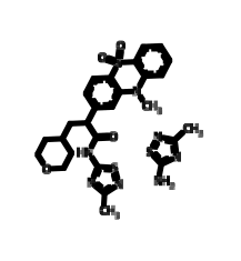 Cc1nsc(N)n1.Cc1nsc(NC(=O)C(CC2CCOCC2)c2ccc3c(c2)N(C)c2ccccc2S3(=O)=O)n1